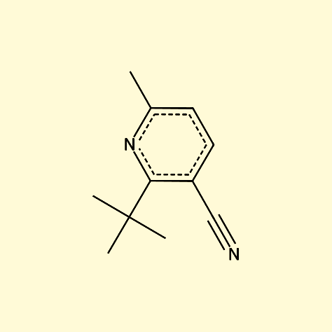 Cc1ccc(C#N)c(C(C)(C)C)n1